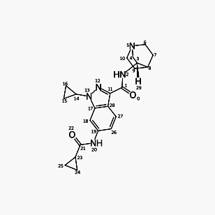 O=C(N[C@@H]1CN2CCC1CC2)c1nn(C2CC2)c2cc(NC(=O)C3CC3)ccc12